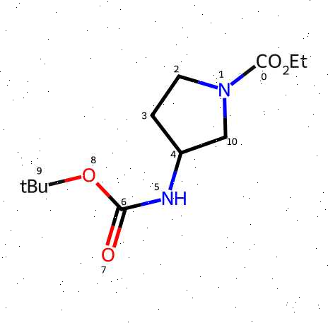 CCOC(=O)N1CCC(NC(=O)OC(C)(C)C)C1